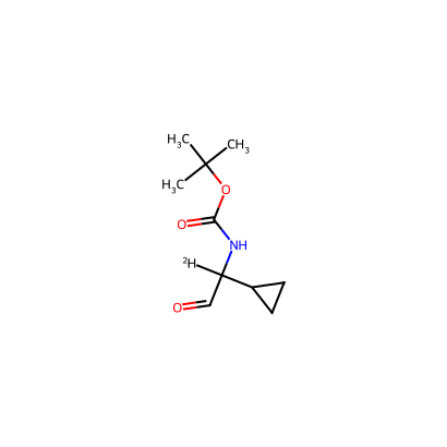 [2H]C(C=O)(NC(=O)OC(C)(C)C)C1CC1